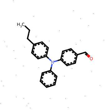 CCCc1ccc(N(c2ccccc2)c2ccc(C=O)cc2)cc1